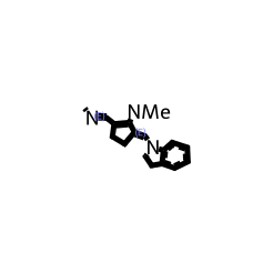 C/N=C/C1=C(NC)C(=C/N2CCc3ccccc32)/CC1